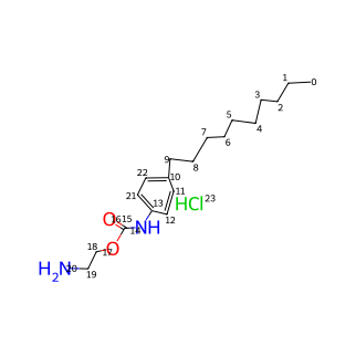 CCCCCCCCCCc1ccc(NC(=O)OCCN)cc1.Cl